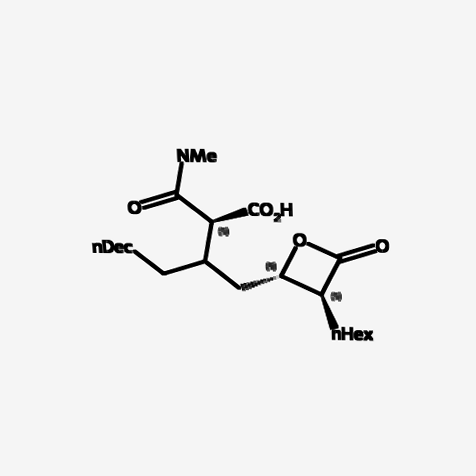 CCCCCCCCCCCC(C[C@@H]1OC(=O)[C@H]1CCCCCC)[C@H](C(=O)O)C(=O)NC